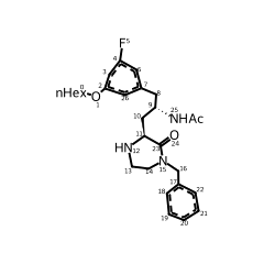 CCCCCCOc1cc(F)cc(C[C@@H](C[C@@H]2NCCN(Cc3ccccc3)C2=O)NC(C)=O)c1